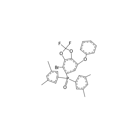 Cc1cc(C)cc(P(=O)(c2cc(C)cc(C)c2)c2cc(Oc3ccccc3)c3c(c2Br)OC(F)(F)O3)c1